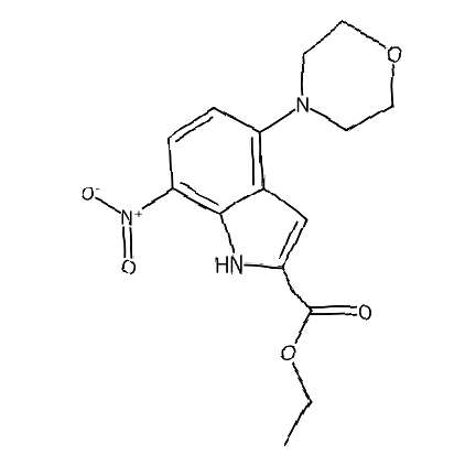 CCOC(=O)c1cc2c(N3CCOCC3)ccc([N+](=O)[O-])c2[nH]1